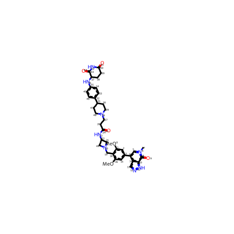 COc1cc(-c2cn(C)c(=O)c3[nH]ncc23)cc(OC)c1CN1CC(NC(=O)CCN2CCC(c3ccc(NC4CCC(=O)NC4=O)cc3)CC2)C1